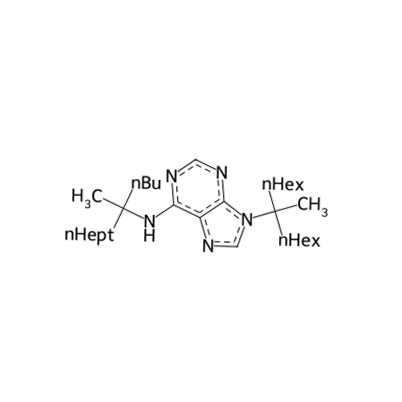 CCCCCCCC(C)(CCCC)Nc1ncnc2c1ncn2C(C)(CCCCCC)CCCCCC